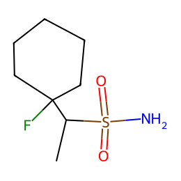 CC(C1(F)CCCCC1)S(N)(=O)=O